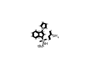 C=CC=C.CC(C)(C)[NH][Ti]([CH3])([CH3])[CH]1C=C(n2cccc2)c2ccccc21.[SiH4]